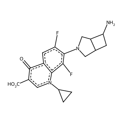 NC1CC2CN(c3c(F)cc4c(=O)c(C(=O)O)cn(C5CC5)c4c3F)CC12